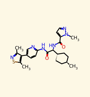 Cc1nsc(C)c1-c1ccc(NC(=O)[C@@H](NC(=O)c2ccnn2C)[C@H]2CC[C@H](C)CC2)nc1